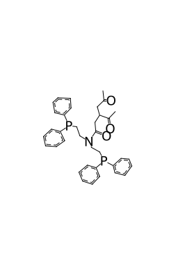 CC(=O)CC(CC(=O)N(CCP(c1ccccc1)c1ccccc1)CCP(c1ccccc1)c1ccccc1)C(C)=O